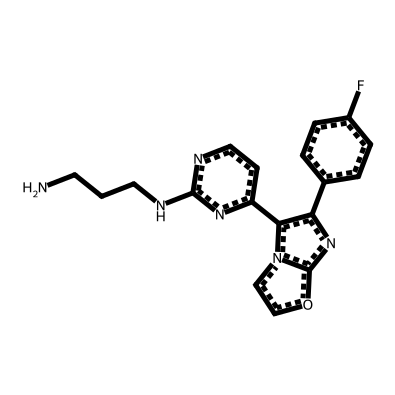 NCCCNc1nccc(-c2c(-c3ccc(F)cc3)nc3occn23)n1